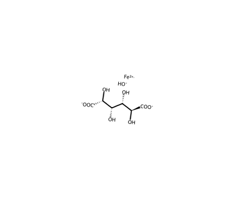 O=C([O-])[C@@H](O)[C@@H](O)[C@H](O)[C@@H](O)C(=O)[O-].[Fe+3].[OH-]